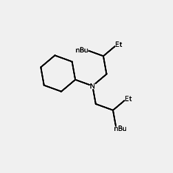 CCCCC(CC)CN(CC(CC)CCCC)C1CCCCC1